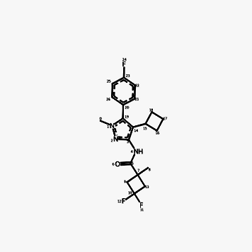 Cn1nc(NC(=O)C2(C)CC(F)(F)C2)c(C2CCC2)c1-c1ccc(F)cc1